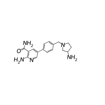 NC(=O)c1cc(-c2ccc(CN3CCC(N)C3)cc2)cnc1N